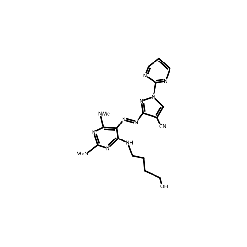 CNc1nc(NC)c(/N=N/c2nn(-c3ncccn3)cc2C#N)c(NCCCCO)n1